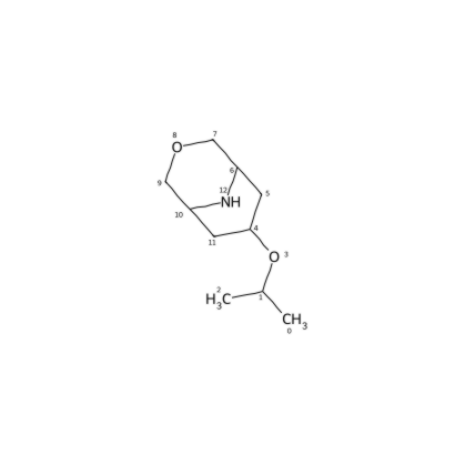 CC(C)OC1CC2COCC(C1)N2